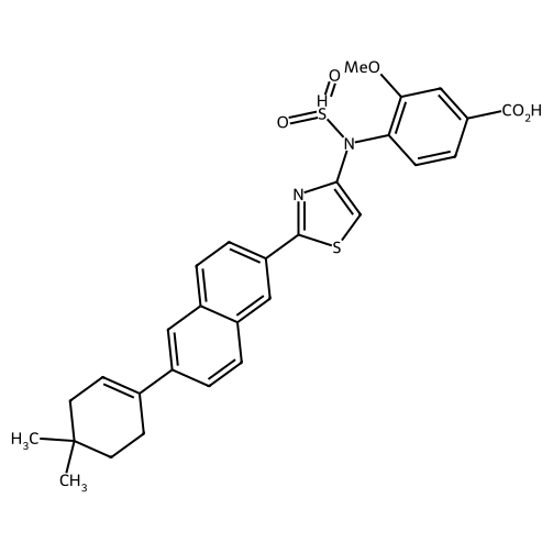 COc1cc(C(=O)O)ccc1N(c1csc(-c2ccc3cc(C4=CCC(C)(C)CC4)ccc3c2)n1)[SH](=O)=O